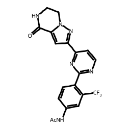 CC(=O)Nc1ccc(-c2nccc(-c3cc4n(n3)CCNC4=O)n2)c(C(F)(F)F)c1